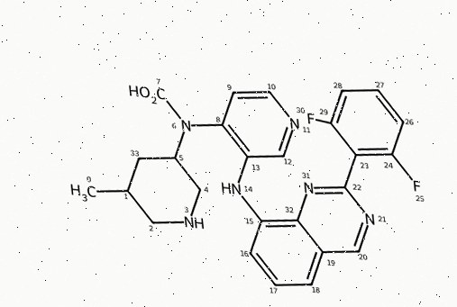 CC1CNCC(N(C(=O)O)c2ccncc2Nc2cccc3cnc(-c4c(F)cccc4F)nc23)C1